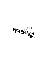 NCC(O)C1=CCC(OC(O)CCCC(O)O)C(CO)C1